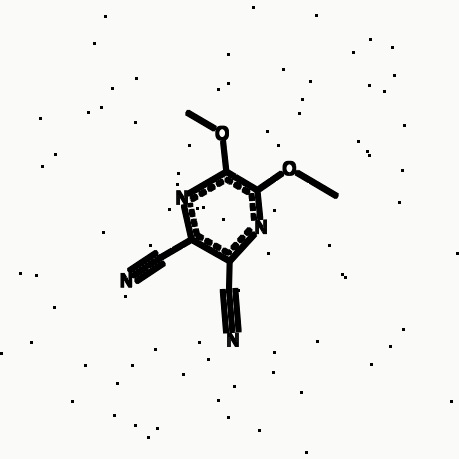 COc1nc(C#N)c(C#N)nc1OC